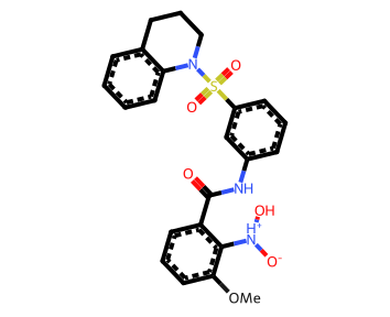 COc1cccc(C(=O)Nc2cccc(S(=O)(=O)N3CCCc4ccccc43)c2)c1[NH+]([O-])O